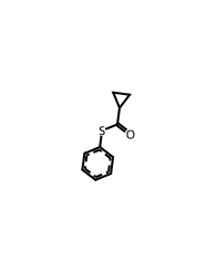 O=C(Sc1ccccc1)C1CC1